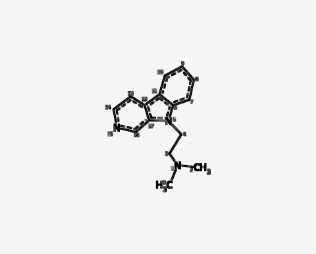 CN(C)CCn1c2ccccc2c2ccncc21